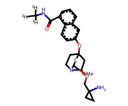 [2H]C([2H])([2H])NC(=O)c1cccc2cc(OC34CCN(C(OC)C3)C(OCC3(N)CC3)C4)ccc12